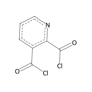 O=C(Cl)c1cccnc1C(=O)Cl